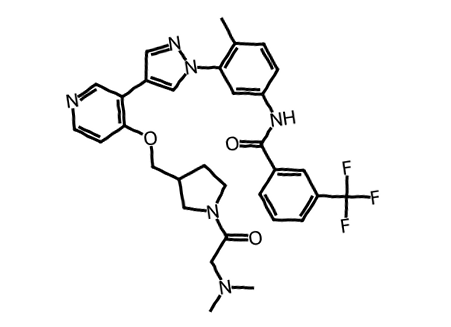 Cc1ccc(NC(=O)c2cccc(C(F)(F)F)c2)cc1-n1cc(-c2cnccc2OCC2CCN(C(=O)CN(C)C)C2)cn1